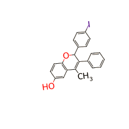 CC1=C(c2ccccc2)C(c2ccc(I)cc2)Oc2ccc(O)cc21